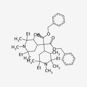 CCC1(C)CC(C(C(=O)OCc2ccccc2)(C(=O)OCc2ccccc2)C2CC(C)(CC)N(C)C(C)(CC)C2C)C(C)C(C)(CC)N1C